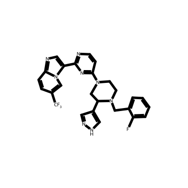 Fc1ccccc1CN1CCN(c2ccnc(-c3cnc4ccc(C(F)(F)F)cn34)n2)CC1c1cn[nH]c1